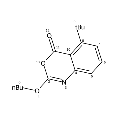 CCCCOc1nc2cccc(C(C)(C)C)c2c(=O)o1